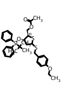 CCOc1ccc(CSC2C[C@H](O[Si](c3ccccc3)(c3ccccc3)C(C)(C)C)[C@@H](COC(C)=O)S2)cc1